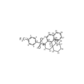 O=S(=O)(c1ccc(C(F)(F)F)cc1)N1CCC2(CCCCC2C(F)(F)F)c2c1ccc1ccccc21